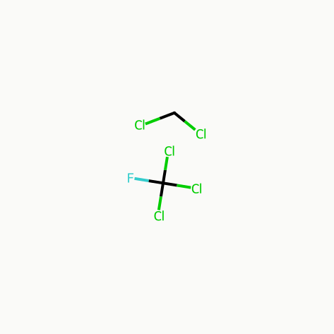 ClCCl.FC(Cl)(Cl)Cl